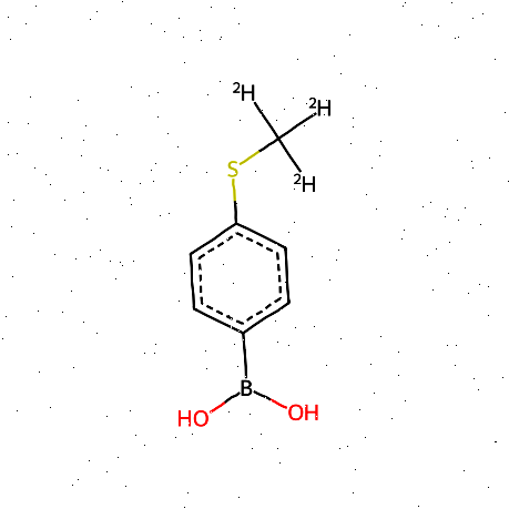 [2H]C([2H])([2H])Sc1ccc(B(O)O)cc1